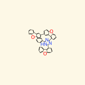 c1ccc(C2=NC(c3cccc4oc5ccc(-c6ccc7oc8ccccc8c7c6)cc5c34)=NC(c3cccc4oc5ccccc5c34)N2)cc1